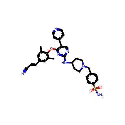 Cc1cc(/C=C/C#N)cc(C)c1Oc1nc(NC2CCN(Cc3ccc(S(N)(=O)=O)cc3)CC2)ncc1-c1ccncc1